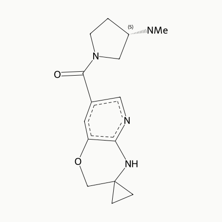 CN[C@H]1CCN(C(=O)c2cnc3c(c2)OCC2(CC2)N3)C1